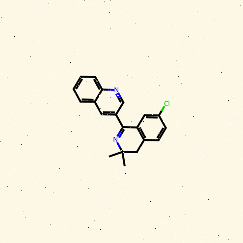 CC1(C)Cc2ccc(Cl)cc2C(c2cnc3ccccc3c2)=N1